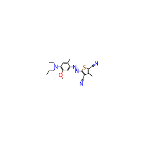 CCCN(CC)c1cc(C)c(/N=N/c2sc(C#N)c(C)c2C#N)cc1OC